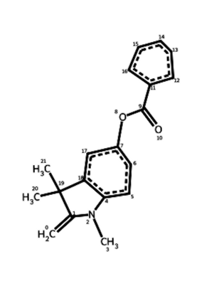 C=C1N(C)c2ccc(OC(=O)c3ccccc3)cc2C1(C)C